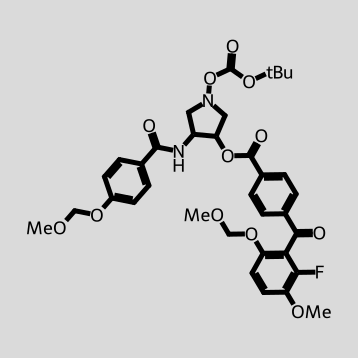 COCOc1ccc(C(=O)NC2CN(OC(=O)OC(C)(C)C)CC2OC(=O)c2ccc(C(=O)c3c(OCOC)ccc(OC)c3F)cc2)cc1